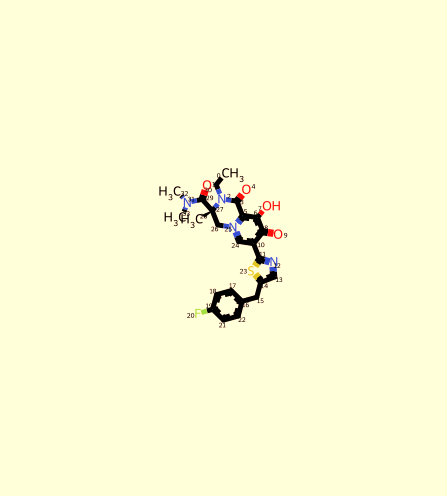 CCN1C(=O)c2c(O)c(=O)c(-c3ncc(Cc4ccc(F)cc4)s3)cn2C[C@]1(C)C(=O)N(C)C